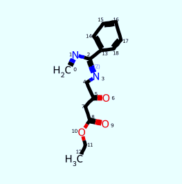 C=N/C(=N\CC(=O)CC(=O)OCC)c1ccccc1